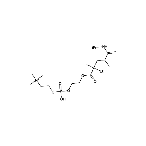 C=C(NC(C)C)C(C)CC(C)(CC)C(=O)OCCOP(=O)(O)OCC[N+](C)(C)C